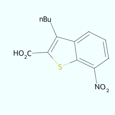 CCCCc1c(C(=O)O)sc2c([N+](=O)[O-])cccc12